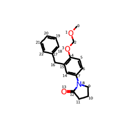 COCOc1ccc(N2CCCC2=O)cc1Cc1ccccc1